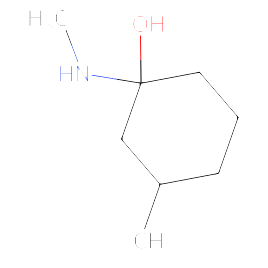 CNC1(O)CCCC(C)C1